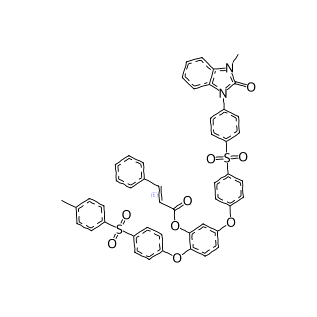 Cc1ccc(S(=O)(=O)c2ccc(Oc3ccc(Oc4ccc(S(=O)(=O)c5ccc(-n6c(=O)n(C)c7ccccc76)cc5)cc4)cc3OC(=O)/C=C/c3ccccc3)cc2)cc1